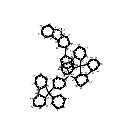 c1ccc(C2(c3ccc(N(c4ccc(-c5ccc6oc7ccccc7c6c5)cc4)c4cccc5c4C4(c6ccccc6-c6ccccc64)c4ccccc4-5)cc3)c3ccccc3-c3ccccc32)cc1